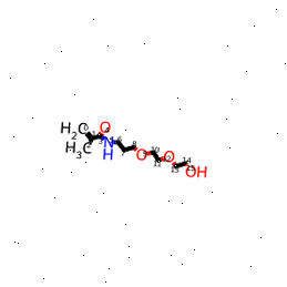 C=C(C)C(=O)NCCCOCCOCCO